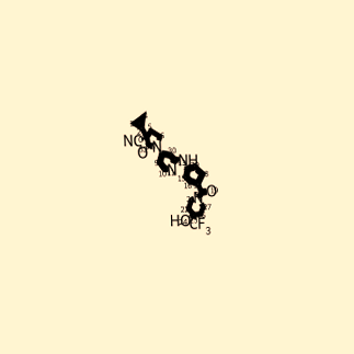 N#C[C@@]1(C2CC2)CCN(c2ccnc(Nc3ccc(C(=O)N4CCC(O)(C(F)(F)F)CC4)cc3)c2)C1=O